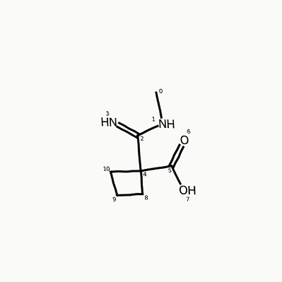 CNC(=N)C1(C(=O)O)CCC1